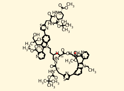 CCn1c(-c2cccnc2[C@H](C)OC)c2c3cc(ccc31)-c1csc(n1)C[C@H](NC(=O)OC(C)(C)C)C(=O)N1CC(CCn3c(-c4cccnc4[C@H](C)OC)c(CC(C)(C)CO)c4cc(-c5csc(C[C@H](NC(=O)OC(C)(C)C)C(=O)N6CCC[C@@H](C(=O)OC)N6)n5)ccc43)C[C@H](N1)C(=O)OCC(C)(C)C2